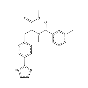 COC(=O)C(Cc1ccc(-c2ncc[nH]2)cc1)N(C)C(=O)c1cc(C)cc(C)c1